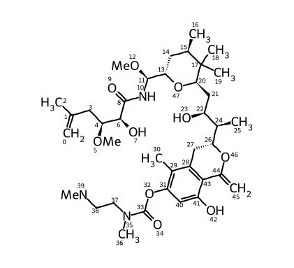 C=C(C)C[C@H](OC)[C@H](O)C(=O)N[C@@H](OC)[C@@H]1C[C@@H](C)C(C)(C)[C@@H](C[C@H](O)[C@@H](C)[C@H]2Cc3c(C)c(OC(=O)N(C)CCNC)cc(O)c3C(=C)O2)O1